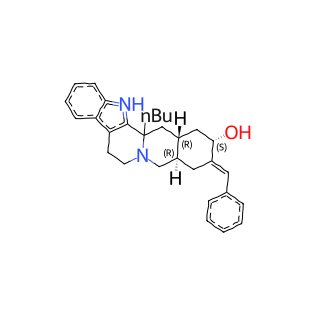 CCCCC12C[C@@H]3C[C@H](O)C(=Cc4ccccc4)C[C@H]3CN1CCc1c2[nH]c2ccccc12